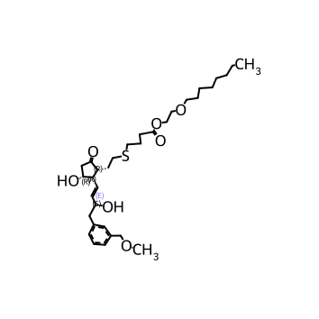 CCCCCCCCOCCOC(=O)CCCSCC[C@H]1C(=O)C[C@@H](O)[C@@H]1/C=C/[C@@H](O)Cc1cccc(COC)c1